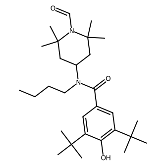 CCCCN(C(=O)c1cc(C(C)(C)C)c(O)c(C(C)(C)C)c1)C1CC(C)(C)N(C=O)C(C)(C)C1